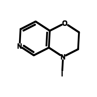 IN1CCOc2ccncc21